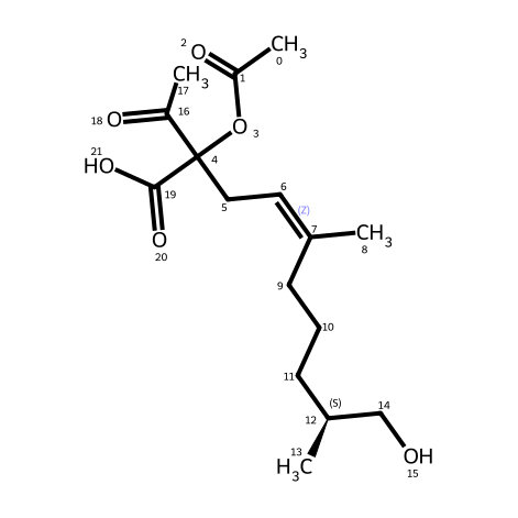 CC(=O)OC(C/C=C(/C)CCC[C@H](C)CO)(C(C)=O)C(=O)O